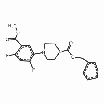 COC(=O)c1cc(N2CCN(C(=O)OCc3ccccc3)CC2)c(F)cc1F